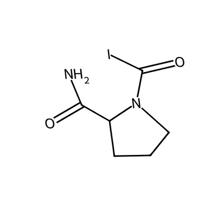 NC(=O)C1CCCN1C(=O)I